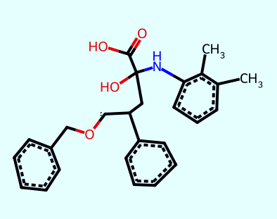 Cc1cccc(NC(O)(CC([C]OCc2ccccc2)c2ccccc2)C(=O)O)c1C